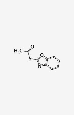 CC(=O)Sc1nc2ccccc2o1